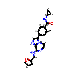 Cc1cc(-c2cnc3c(NCc4ccco4)nccn23)ccc1C(=O)NC1CC1